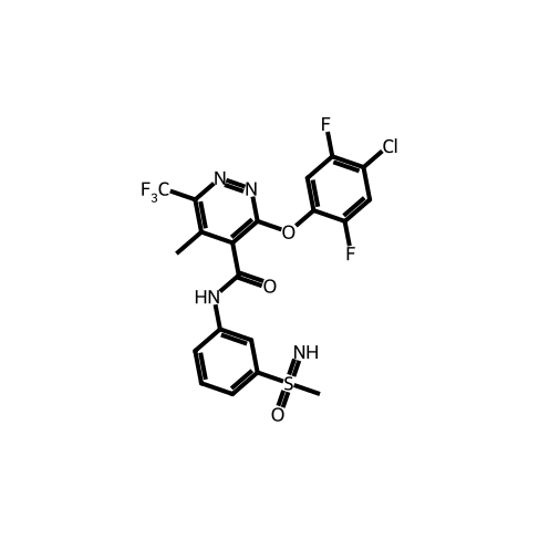 Cc1c(C(F)(F)F)nnc(Oc2cc(F)c(Cl)cc2F)c1C(=O)Nc1cccc(S(C)(=N)=O)c1